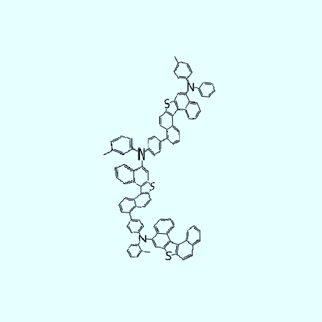 Cc1ccc(N(c2ccccc2)c2cc3sc4ccc5c(-c6ccc(N(c7cccc(C)c7)c7cc8sc9ccc%10c(-c%11ccc(N(c%12ccccc%12C)c%12cc%13sc%14ccc%15ccccc%15c%14c%13c%13ccccc%12%13)cc%11)cccc%10c9c8c8ccccc78)cc6)cccc5c4c3c3ccccc23)cc1